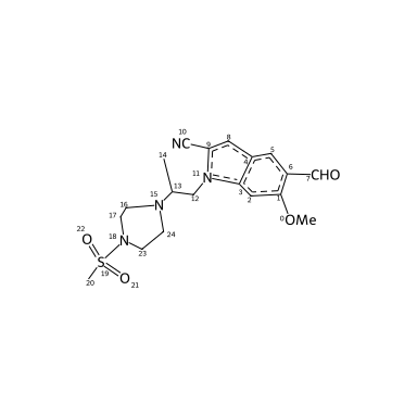 COc1cc2c(cc1C=O)cc(C#N)n2CC(C)N1CCN(S(C)(=O)=O)CC1